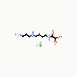 Cl.Cl.NCCCNCCCCNC(=O)C(O)O